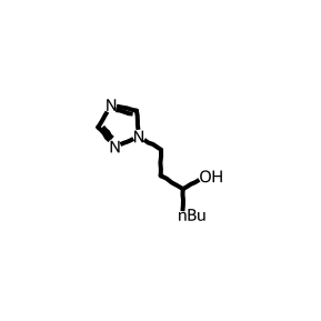 CCCCC(O)CCn1cncn1